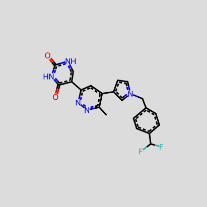 Cc1nnc(-c2c[nH]c(=O)[nH]c2=O)cc1-c1ccn(Cc2ccc(C(F)F)cc2)c1